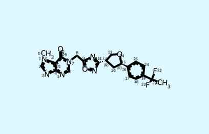 Cn1cnc2ncn(Cc3nc([C@@H]4CO[C@@H](c5ccc(C(C)(F)F)cc5)C4)no3)c(=O)c21